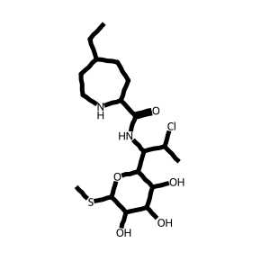 CCC1CCNC(C(=O)NC(C(C)Cl)C2OC(SC)C(O)C(O)C2O)CC1